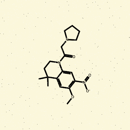 COc1cc2c(cc1[N+](=O)[O-])N(C(=O)CN1CCCC1)CCC2(C)C